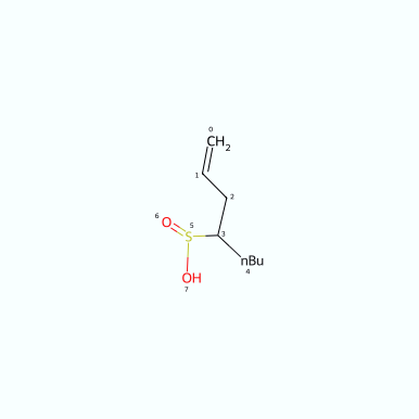 C=CCC(CCCC)S(=O)O